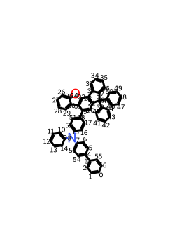 c1ccc(-c2ccc(N(c3ccccc3)c3ccc(-c4cc5c(c6oc7ccccc7c46)-c4ccccc4C5(c4ccccc4)c4ccccc4)cc3)cc2)cc1